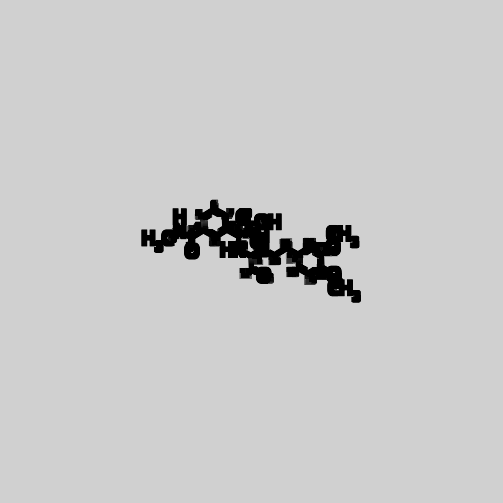 CNC(=O)c1cccc(C(NC(C=O)NCCc2ccc(OC)c(OC)c2)S(=O)(=O)O)c1